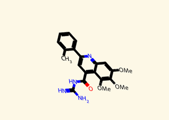 COc1cc2nc(-c3ccccc3C)cc(C(=O)NC(=N)N)c2c(OC)c1OC